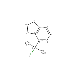 FC(F)(F)C(F)(c1cc[c]c2c1CCC2)C(F)(F)F